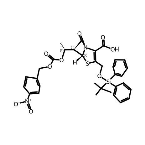 C[C@@H](OC(=O)OCc1ccc([N+](=O)[O-])cc1)[C@H]1C(=O)N2C(C(=O)O)=C(CO[Si](c3ccccc3)(c3ccccc3)C(C)(C)C)S[C@H]12